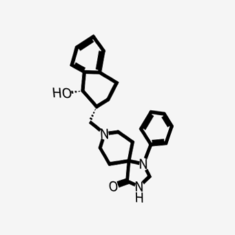 O=C1NCN(c2ccccc2)C12CCN(C[C@H]1CCc3ccccc3[C@H]1O)CC2